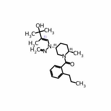 C=NN(/C=C(\C)C(C)(C)O)[C@@H]1CC[C@@H](C)N(C(=O)c2ccccc2CCC)C1